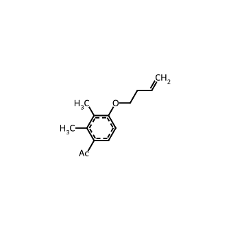 C=CCCOc1ccc(C(C)=O)c(C)c1C